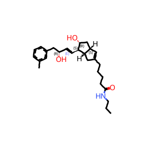 CCCNC(=O)CCCCC1=C[C@H]2C[C@@H](O)[C@H](/C=C/[C@H](O)Cc3cccc(C)c3)[C@H]2C1